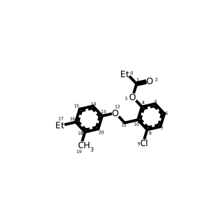 CCC(=O)Oc1cccc(Cl)c1COc1ccc(CC)c(C)c1